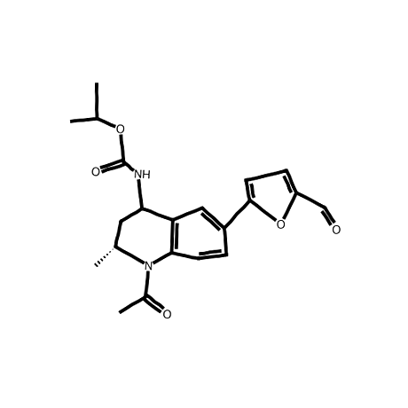 CC(=O)N1c2ccc(-c3ccc(C=O)o3)cc2C(NC(=O)OC(C)C)C[C@H]1C